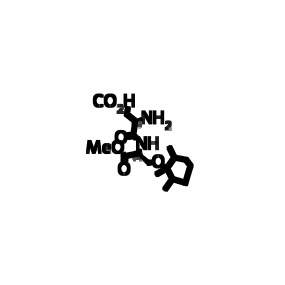 COC(=O)[C@H](COC1(C)C(C)CCCC1C)NC(=O)[C@@H](N)CC(=O)O